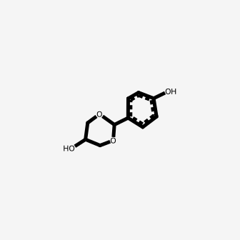 Oc1ccc(C2OCC(O)CO2)cc1